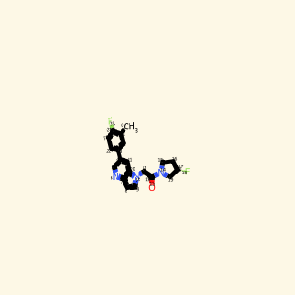 Cc1cc(-c2cnc3ccn(CC(=O)N4CC[C@H](F)C4)c3c2)ccc1F